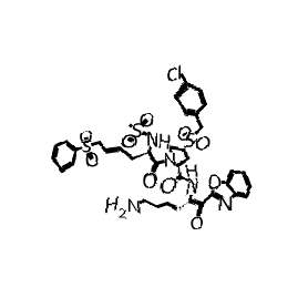 CS(=O)(=O)N[C@H](C/C=C/CS(=O)(=O)c1ccccc1)C(=O)N1C[C@H](S(=O)(=O)Cc2ccc(Cl)cc2)C[C@H]1C(=O)N[C@@H](CCCCN)C(=O)c1nc2ccccc2o1